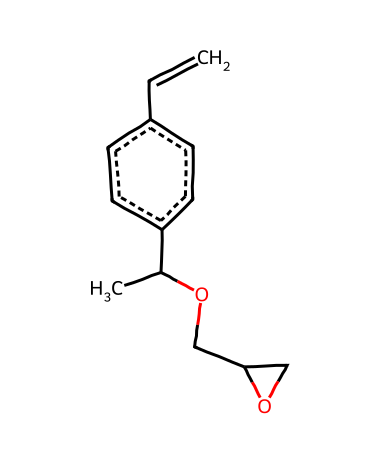 C=Cc1ccc(C(C)OCC2CO2)cc1